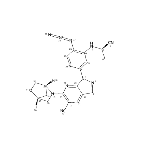 C[C@H](C#N)Nc1cc(-n2ncc3cc(C#N)c(N4C[C@H]5C[C@@H]4CO5)nc32)ncc1N=[N+]=[N-]